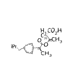 CC(C)Cc1ccc([C@H](C)C(=O)O[C@H](C)[C@H](C)C(=O)O)cc1